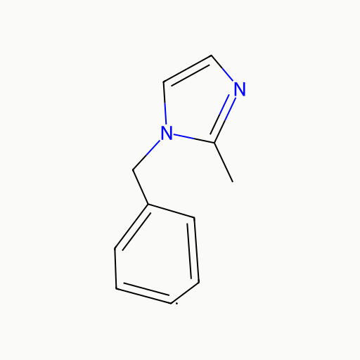 Cc1nccn1Cc1cc[c]cc1